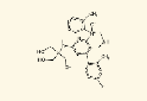 Cc1cc(F)ccc1-c1nc(NC(CO)(CO)CO)nc2c1CNC[N+]2([O-])c1ccccc1C